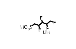 O=S(=O)(O)CC(F)C(F)C(F)CF.[LiH]